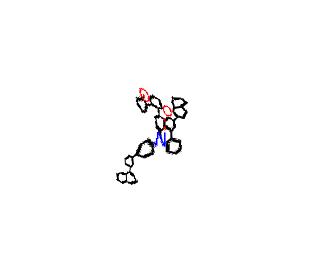 c1cc(-c2ccc(N(c3ccc(-c4cccc5oc6ccccc6c45)cc3)c3ccccc3-c3ccc4oc5c6ccccc6ccc5c4c3)cc2)cc(-c2cccc3ccccc23)c1